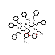 COc1ccc(CO[C@@H]2[C@@H](OC[C@@H](O)CO)[C@H](OCc3ccccc3)[C@@H](OCc3ccccc3)[C@H](OCc3ccccc3)[C@@H]2O[C@H]2O[C@H](COCc3ccccc3)[C@@H](OCc3ccccc3)[C@H](OCc3ccccc3)[C@@H]2OCc2ccccc2)cc1